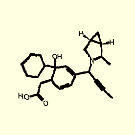 CC#CC(C1=CC(O)(C2CCCCC2)C(CC(=O)O)C=C1)N1C[C@@H]2C[C@@H]2C1C